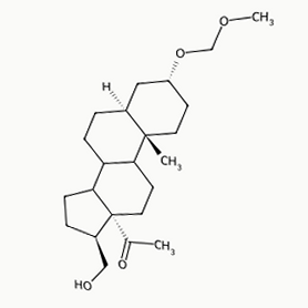 COCO[C@@H]1CC[C@]2(C)C3CC[C@]4(C(C)=O)C(CC[C@@H]4CO)C3CC[C@H]2C1